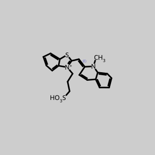 CN1/C(=C/c2sc3ccccc3[n+]2CCCS(=O)(=O)O)C=Cc2ccccc21